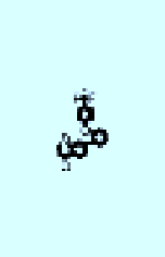 Cn1ccc(=O)c2ccc(-c3ccccc3Oc3ccc(C(F)(F)F)cc3)cc21